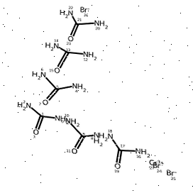 NC(N)=O.NC(N)=O.NC(N)=O.NC(N)=O.NC(N)=O.NC(N)=O.[Br-].[Br-].[Br-].[Cr+3]